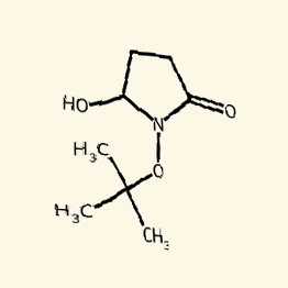 CC(C)(C)ON1C(=O)CCC1O